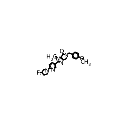 COc1ccc(CN2Cc3nc(-c4ccc(N5CC[C@@H](F)C5)nc4)n(C)c3C2=O)cc1